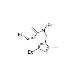 C=C(/C=C\CC)N(CC1=C=C(CC)C=C1C)C(C)C